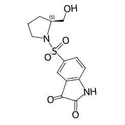 O=C1Nc2ccc(S(=O)(=O)N3CCC[C@H]3CO)cc2C1=O